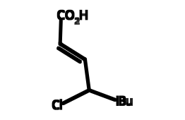 CCC(C)C(Cl)C=CC(=O)O